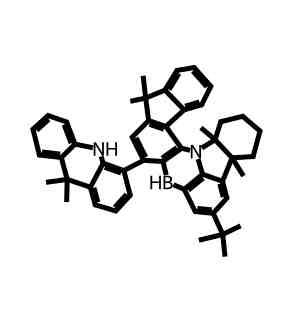 CC(C)(C)c1cc2c3c(c1)C1(C)CCCCC1(C)N3c1c(c(-c3cccc4c3Nc3ccccc3C4(C)C)cc3c1-c1ccccc1C3(C)C)B2